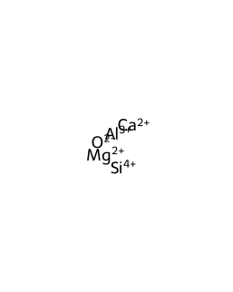 [Al+3].[Ca+2].[Mg+2].[O-2].[Si+4]